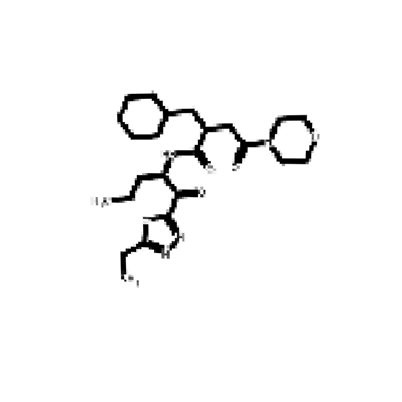 CCCC(NC(=O)C(CC(=O)N1CCOCC1)CC1CCCCC1)C(=O)c1nnc(CC)o1